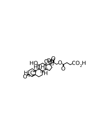 C[C@]12CCC(=O)C=C1CC[C@@H]1[C@@H]2[C@H](O)C[C@@]2(C)[C@H]1CC[C@]2(O)C(=O)COC(=O)CCC(=O)O